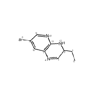 CCC1C=Nc2cc(Br)cnc2N1